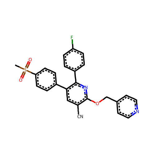 CS(=O)(=O)c1ccc(-c2cc(C#N)c(OCc3ccncc3)nc2-c2ccc(F)cc2)cc1